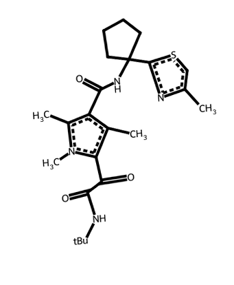 Cc1csc(C2(NC(=O)c3c(C)c(C(=O)C(=O)NC(C)(C)C)n(C)c3C)CCCC2)n1